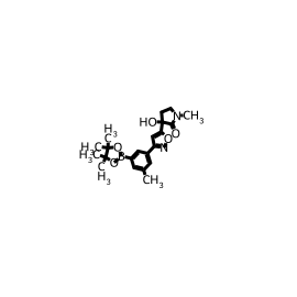 Cc1cc(B2OC(C)(C)C(C)(C)O2)cc(-c2cc(C3(O)CCN(C)C3=O)on2)c1